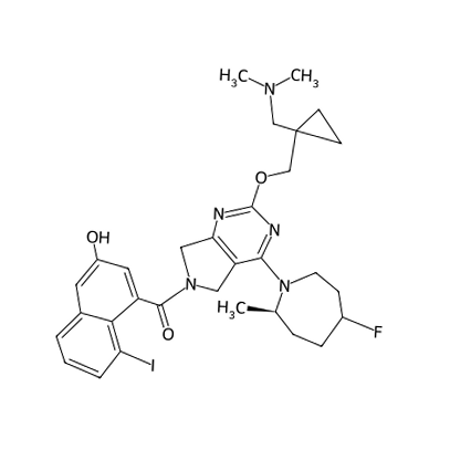 C[C@@H]1CCC(F)CCN1c1nc(OCC2(CN(C)C)CC2)nc2c1CN(C(=O)c1cc(O)cc3cccc(I)c13)C2